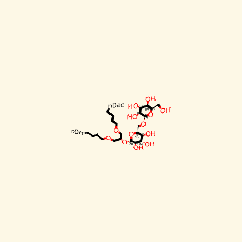 CCCCCCCCCCCCCCOCC(COCCCCCCCCCCCCCC)O[C@@H]1O[C@H](CO[C@H]2O[C@H](CO)[C@H](O)[C@H](O)[C@H]2O)[C@@H](O)[C@H](O)[C@H]1O